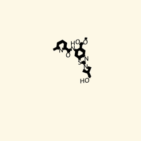 COC(=O)c1cc2nc(N3CC(CO)C3)sc2cc1NC(=O)c1cccc(C)n1